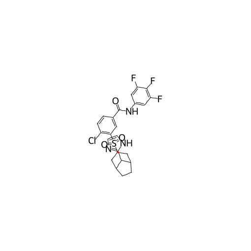 O=C(Nc1cc(F)c(F)c(F)c1)c1ccc(Cl)c(S(=O)(=O)C2CC3CCC(C2)C3c2ncc[nH]2)c1